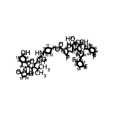 CC(C)C(NC(=O)[C@H](Cc1ccc(O)cc1)N1C(=O)C=CC1=O)C(=O)NCC(=O)Nc1ccc(COC(=O)N2C[C@@H](CN(C(=O)[C@H](C)O)[C@@H](c3nc(-c4cc(F)ccc4F)cn3Cc3cccc(F)c3)C(C)(C)C)[C@@H](F)C2)cc1